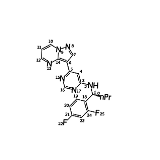 CCC[C@H](Nc1cc(-c2cnn3cccnc23)ncn1)c1ccc(F)cc1F